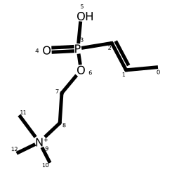 CC=CP(=O)(O)OCC[N+](C)(C)C